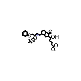 COC(=O)CCCC(O)C1CC2C(/C=C/C(COc3ccccc3)O[Si](C)(C)C(C)(C)C)CCC2C1=O